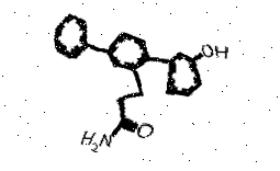 NC(=O)CCc1cc(-c2ccccc2)ccc1-c1cccc(O)c1